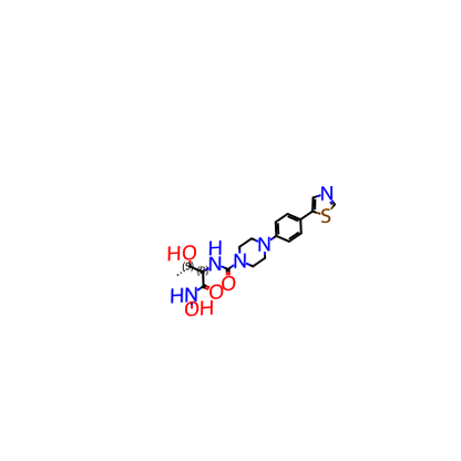 C[C@H](O)[C@@H](NC(=O)N1CCN(c2ccc(-c3cncs3)cc2)CC1)C(=O)NO